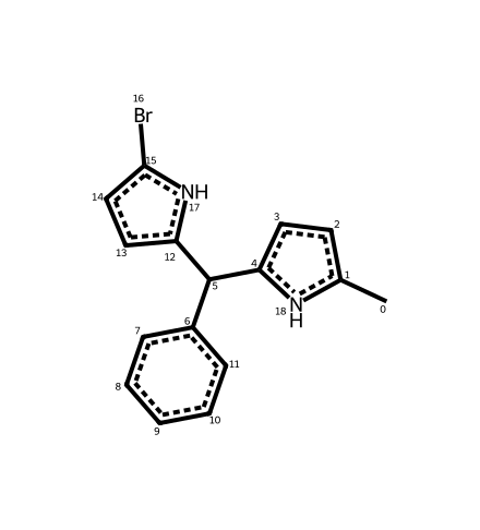 Cc1ccc(C(c2ccccc2)c2ccc(Br)[nH]2)[nH]1